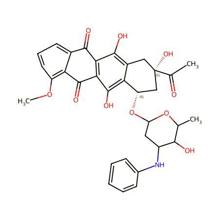 COc1cccc2c1C(=O)c1c(O)c3c(c(O)c1C2=O)C[C@@](O)(C(C)=O)C[C@@H]3OC1CC(Nc2ccccc2)C(O)C(C)O1